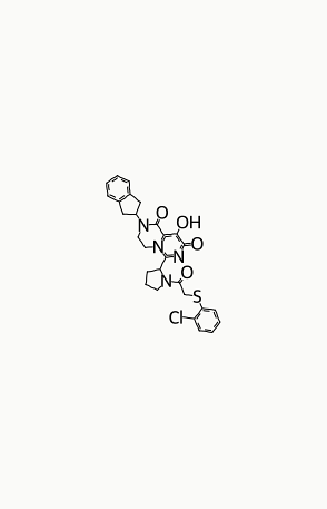 O=C1c2c(O)c(=O)nc(C3CCCN3C(=O)CSc3ccccc3Cl)n2CCN1C1Cc2ccccc2C1